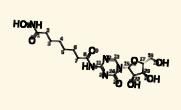 O=C(CCCCCCC(=O)Nc1ncn([C@@H]2O[C@H](CO)[C@@H](O)[C@H]2O)c(=O)n1)NO